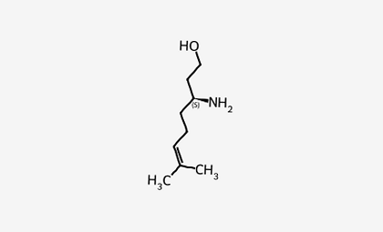 CC(C)=CCC[C@H](N)CCO